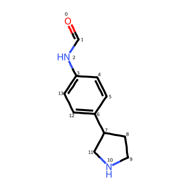 O=CNc1ccc(C2CCNC2)cc1